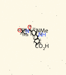 CNC1=C(C(=N)C2=CCC(C(=O)O)CC2)CCC(C(=O)N2CCC3(COC3)C2)C1